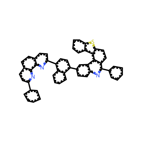 c1ccc(-c2ccc3ccc4ccc(-c5ccc(-c6ccc7nc(-c8ccccc8)c8ccc9sc%10ccccc%10c9c8c7c6)c6ccccc56)nc4c3n2)cc1